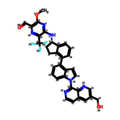 COc1nc(N[C@H]2CCc3c(-c4cccc5c4ccn5-c4nccc5cc(CO)cnc45)cccc32)c(C(F)(F)F)nc1C=O